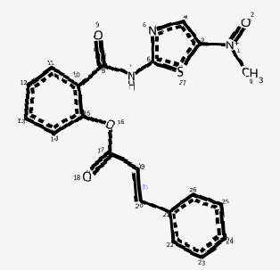 C[N+](=O)c1cnc(NC(=O)c2ccccc2OC(=O)/C=C/c2ccccc2)s1